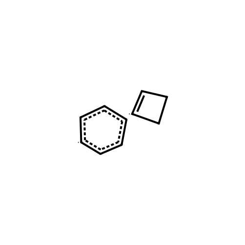 [C]1=CCC1.[c]1ccccc1